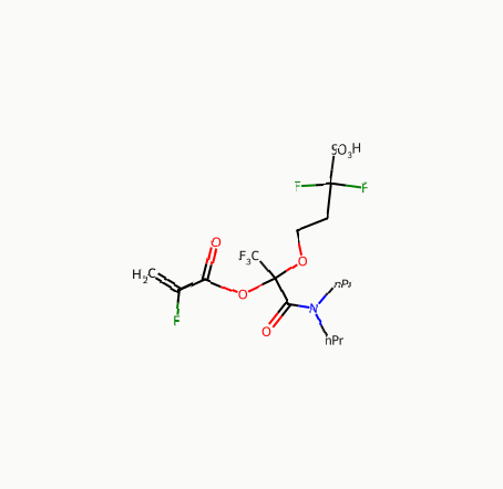 C=C(F)C(=O)OC(OCCC(F)(F)S(=O)(=O)O)(C(=O)N(CCC)CCC)C(F)(F)F